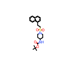 CC(C)(C)OC(=O)NC1CCN(S(=O)(=O)CCc2cccc3ccccc23)CC1